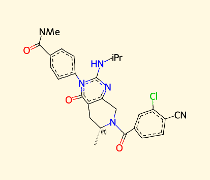 CNC(=O)c1ccc(-n2c(NC(C)C)nc3c(c2=O)C[C@@H](C)N(C(=O)c2ccc(C#N)c(Cl)c2)C3)cc1